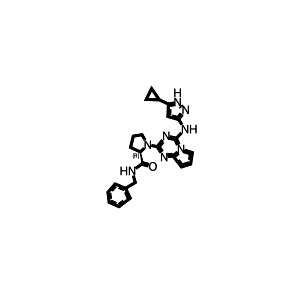 O=C(NCc1ccccc1)[C@H]1CCCN1c1nc(Nc2cc(C3CC3)[nH]n2)n2cccc2n1